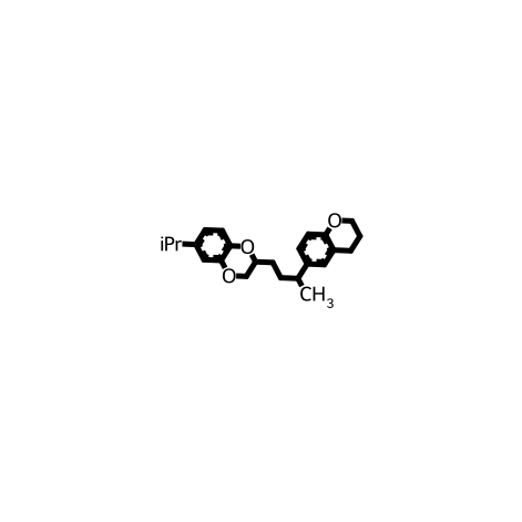 CC(C)c1ccc2c(c1)OCC(CCC(C)c1ccc3c(c1)CCCO3)O2